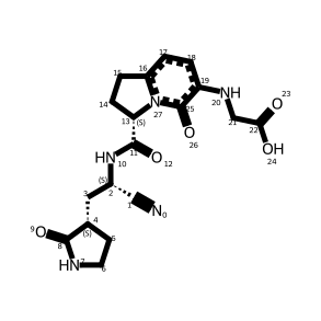 N#C[C@H](C[C@@H]1CCNC1=O)NC(=O)[C@@H]1CCc2ccc(NCC(=O)O)c(=O)n21